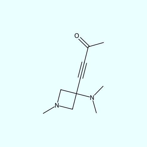 CC(=O)C#CC1(N(C)C)CN(C)C1